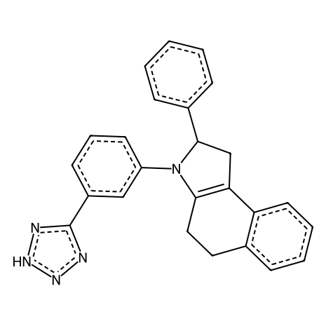 c1ccc(C2CC3=C(CCc4ccccc43)N2c2cccc(-c3nn[nH]n3)c2)cc1